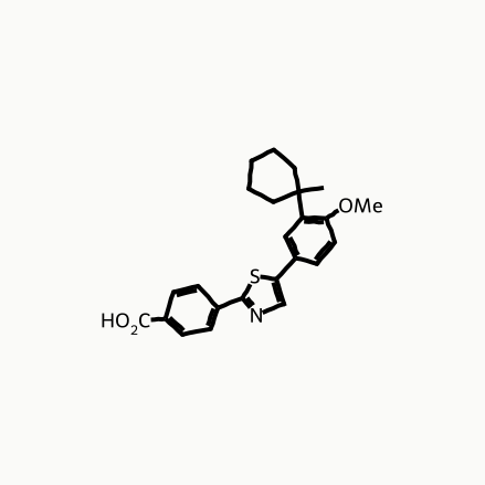 COc1ccc(-c2cnc(-c3ccc(C(=O)O)cc3)s2)cc1C1(C)CCCCC1